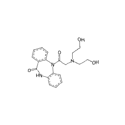 O=C1Nc2ccccc2N(C(=O)CN(CCO)CCO)c2ccccc21